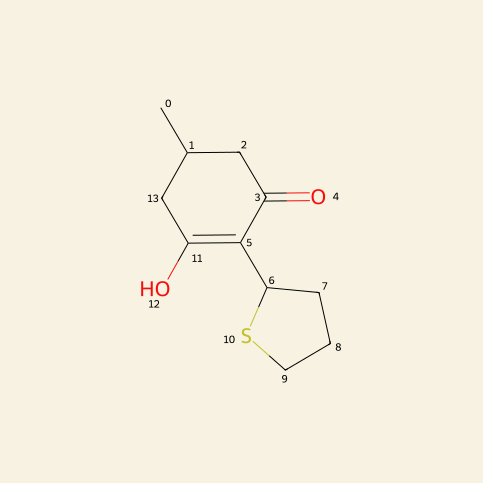 CC1CC(=O)C(C2CCCS2)=C(O)C1